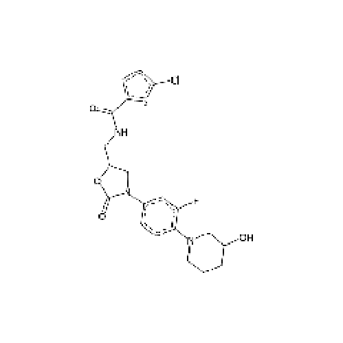 O=C(NCC1CN(c2ccc(N3CCCC(O)C3)c(F)c2)C(=O)O1)c1ccc(Cl)s1